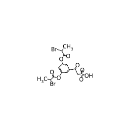 CC(Br)C(=O)Oc1cc(OC(=O)C(C)Br)cc(C(=O)CS(=O)(=O)O)c1